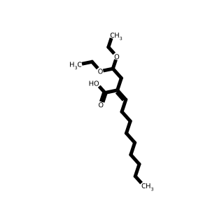 CCCCCCCCC=C(CC(OCC)OCC)C(=O)O